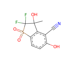 CC1(O)c2c(ccc(O)c2C#N)S(=O)(=O)C1(F)F